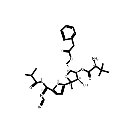 CC(C)C(=O)N/C(=N/C=N)c1ccc([C@]2(C)O[C@H](COC(=O)Cc3ccccc3)[C@@H](OC(=O)[C@@H](N)C(C)(C)C)[C@H]2O)[nH]1